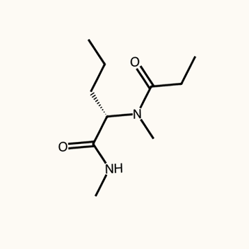 CCC[C@@H](C(=O)NC)N(C)C(=O)CC